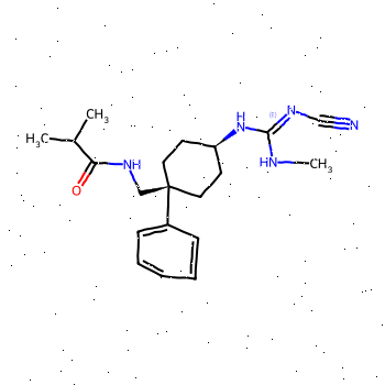 CN/C(=N\C#N)N[C@H]1CC[C@](CNC(=O)C(C)C)(c2ccccc2)CC1